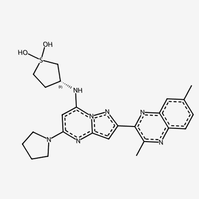 Cc1ccc2nc(C)c(-c3cc4nc(N5CCCC5)cc(N[C@@H]5CCS(O)(O)C5)n4n3)nc2c1